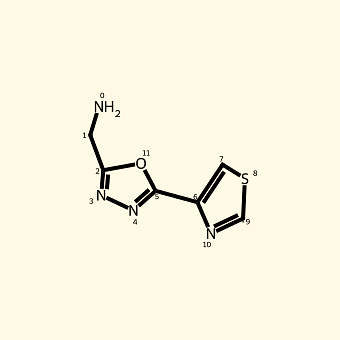 NCc1nnc(-c2cs[c]n2)o1